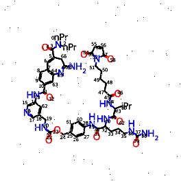 CCCN(CCC)C(=O)C1=Cc2ccc(C(=O)Nc3cncc(CNC(=O)OCc4ccc(NC(=O)C(CCCNC(N)=O)NC(=O)C(NC(=O)CCCCCN5C(=O)C=CC5=O)C(C)C)cc4)c3)cc2N=C(N)C1